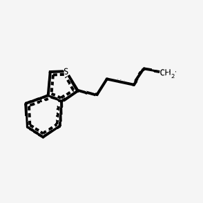 [CH2]CCCCc1scc2ccccc12